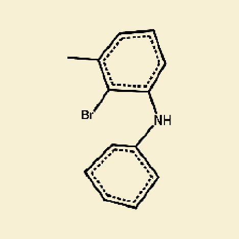 Cc1cccc(Nc2ccccc2)c1Br